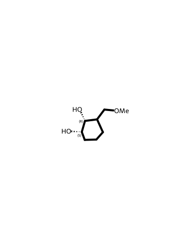 COCC1CCC[C@H](O)[C@@H]1O